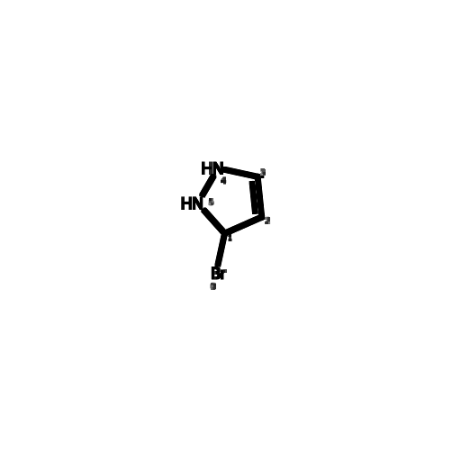 BrC1C=[C]NN1